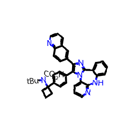 CC(C)(C)N(C(=O)O)C1(c2ccc(-c3c(-c4ccc5ncccc5c4)nc4n3-c3cccnc3Nc3ccccc3-4)cc2)CCC1